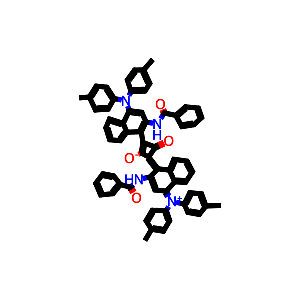 Cc1ccc(N(c2ccc(C)cc2)c2cc(NC(=O)c3ccccc3)c(C3=C([O-])/C(=C4\C(NC(=O)c5ccccc5)=CC(=[N+](c5ccc(C)cc5)c5ccc(C)cc5)c5ccccc54)C3=O)c3ccccc23)cc1